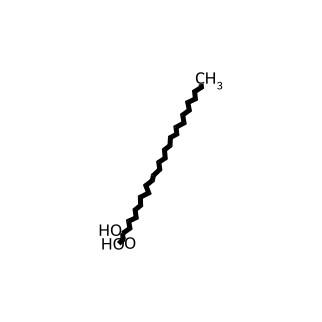 CCCCCCCCCCCCCCCCCCCCCCCCCCC(O)C(=O)O